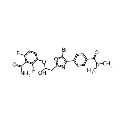 CN(C)C(=O)c1ccc(-c2nc(CC(O)Oc3ccc(F)c(C(N)=O)c3F)oc2Br)cc1